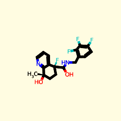 C[C@]1(O)CC[C@@](F)(C(O)NCc2ccc(F)c(F)c2F)c2cccnc21